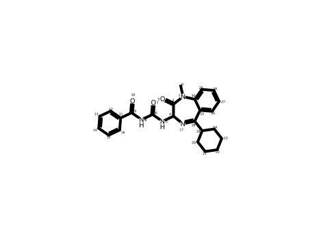 CN1C(=O)C(NC(=O)NC(=O)c2ccccc2)N=C(C2CCCCC2)c2ccccc21